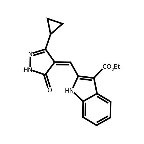 CCOC(=O)c1c(C=C2C(=O)NN=C2C2CC2)[nH]c2ccccc12